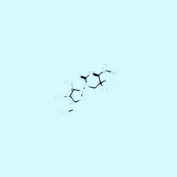 CC1(O)CN(N2O[C@H](CO)[C@@H](O)[C@H]2O)C(=O)N=C1NN